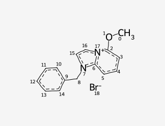 COc1cccc2n(Cc3ccccc3)cc[n+]12.[Br-]